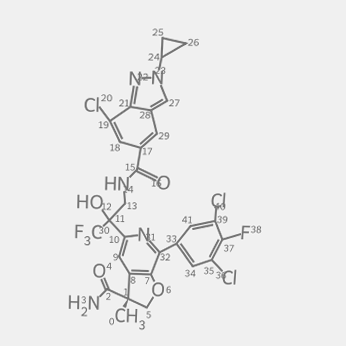 C[C@]1(C(N)=O)COc2c1cc(C(O)(CNC(=O)c1cc(Cl)c3nn(C4CC4)cc3c1)C(F)(F)F)nc2-c1cc(Cl)c(F)c(Cl)c1